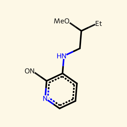 CCC(CNc1cccnc1N=O)OC